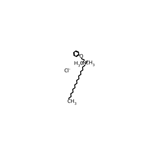 CCCCCCCCCCCCCCCCC[N+](C)(C)CCOc1ccccc1.[Cl-]